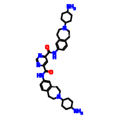 NC1CCC(N2CCc3ccc(NC(=O)c4cc(C(=O)Nc5ccc6c(c5)CCN(C5CCC(N)CC5)CC6)ncn4)cc3CC2)CC1